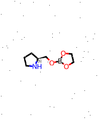 C1CN[C@H](COB2OCCO2)C1